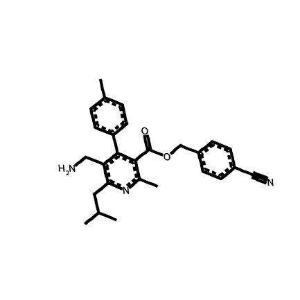 Cc1ccc(-c2c(CN)c(CC(C)C)nc(C)c2C(=O)OCc2ccc(C#N)cc2)cc1